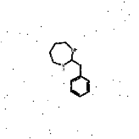 c1ccc(CC2NCCCCN2)cc1